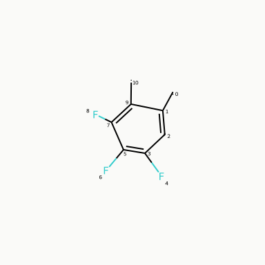 [CH2]c1cc(F)c(F)c(F)c1[CH2]